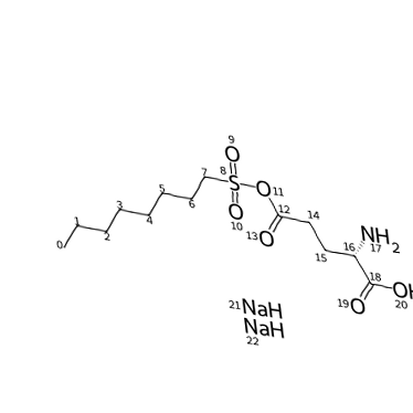 CCCCCCCCS(=O)(=O)OC(=O)CC[C@H](N)C(=O)O.[NaH].[NaH]